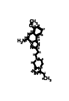 CCc1nnc2n1CCN(CCc1nc3c4cccc(OC)c4nc(N)n3n1)C2